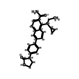 CCN(c1c(C(N)=O)nnc2cc(-c3ccc(N4CCOC4=O)cc3)ccc12)C1CC1